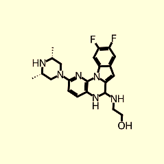 C[C@@H]1CN(c2ccc3c(n2)-n2c(cc4cc(F)c(F)cc42)C(NCCO)N3)C[C@H](C)N1